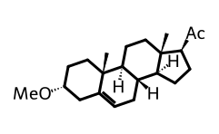 CO[C@@H]1CC[C@@]2(C)C(=CC[C@H]3[C@@H]4CC[C@H](C(C)=O)[C@@]4(C)CC[C@@H]32)C1